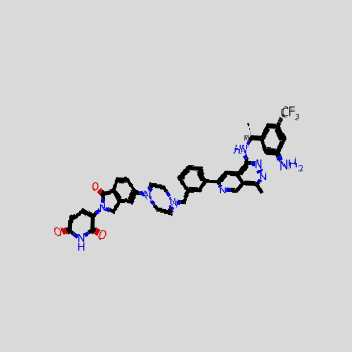 Cc1nnc(N[C@H](C)c2cc(N)cc(C(F)(F)F)c2)c2cc(-c3cccc(CN4CCN(c5ccc6c(c5)CN(C5CCC(=O)NC5=O)C6=O)CC4)c3)ncc12